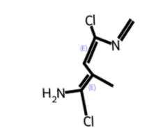 C=N/C(Cl)=C\C(C)=C(/N)Cl